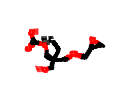 CCC(CO)(COCC1CO1)COC(=O)O